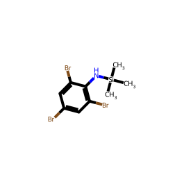 C[Si](C)(C)Nc1c(Br)cc(Br)cc1Br